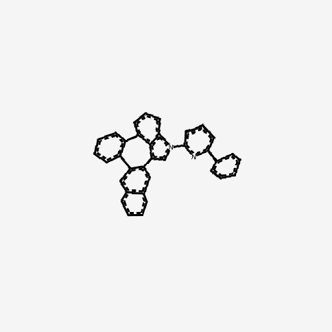 c1ccc(-c2cccc(-n3cc4c5c(cccc53)-c3ccccc3-c3cc5ccccc5cc3-4)n2)cc1